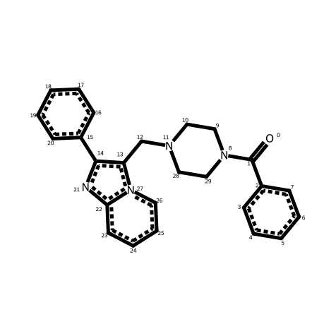 O=C(c1ccccc1)N1CCN(Cc2c(-c3ccccc3)nc3ccccn23)CC1